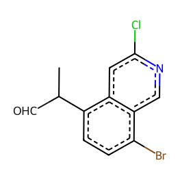 CC(C=O)c1ccc(Br)c2cnc(Cl)cc12